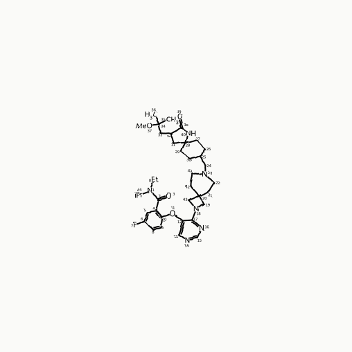 CCN(C(=O)c1cc(F)ccc1Oc1cncnc1N1CC2(CCN(CC3CCC4(CC3)CC(CC(C)(C)OC)C(=O)N4)CC2)C1)C(C)C